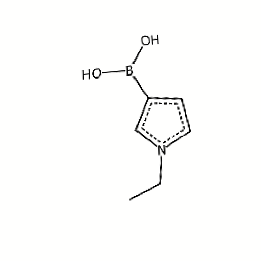 CCn1ccc(B(O)O)c1